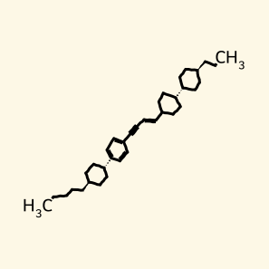 CCCCC[C@H]1CC[C@H](c2ccc(C#C/C=C/C3CCC([C@H]4CC[C@H](CCC)CC4)CC3)cc2)CC1